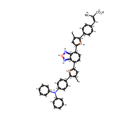 Cc1cc(-c2ccc(-c3cc(C)c(-c4ccc(N(c5ccccc5)c5ccccc5)cc4)s3)c3nonc23)sc1-c1ccc(/C=C(\C#N)C(=O)O)cc1